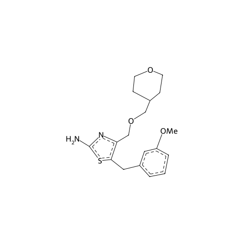 COc1cccc(Cc2sc(N)nc2COCC2CCOCC2)c1